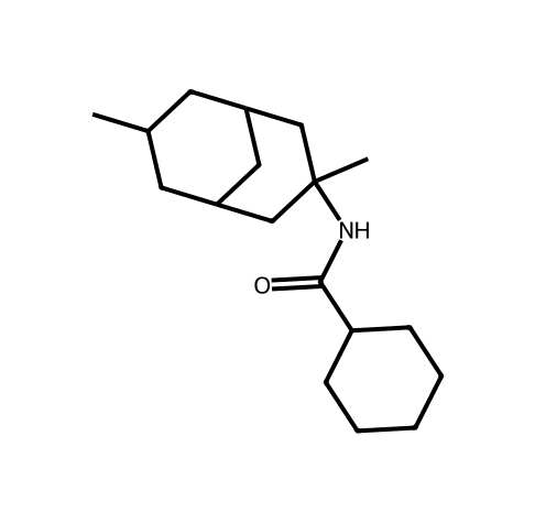 CC1CC2CC(C1)CC(C)(NC(=O)C1CCCCC1)C2